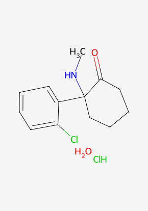 CNC1(c2ccccc2Cl)CCCCC1=O.Cl.O